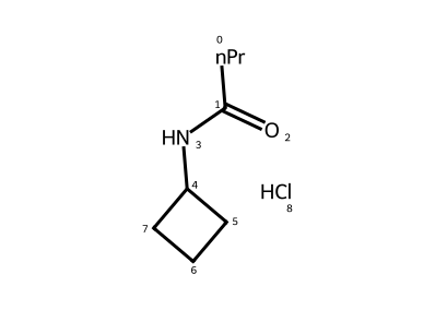 CCCC(=O)NC1CCC1.Cl